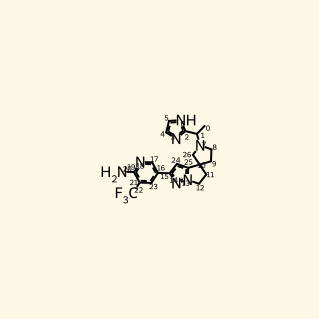 CC(c1ncc[nH]1)N1CCC2(CCn3nc(-c4cnc(N)c(C(F)(F)F)c4)cc32)C1